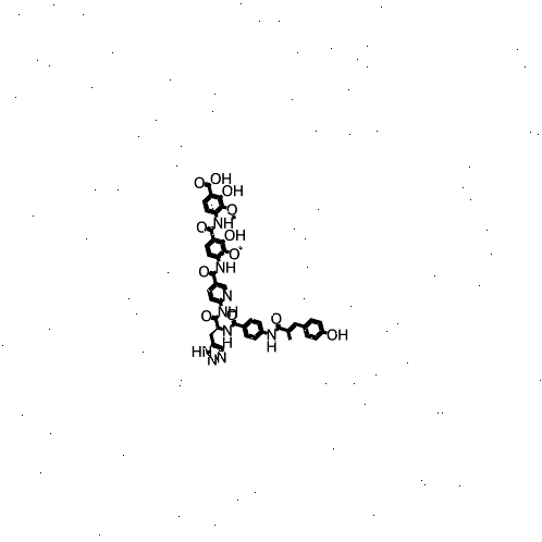 COc1c(NC(=O)c2ccc(NC(=O)c3ccc(NC(=O)[C@H](Cc4cnn[nH]4)NC(=O)c4ccc(NC(=O)/C(C)=C/c5ccc(O)cc5)cc4)nc3)c(OC)c2O)ccc(C(=O)O)c1O